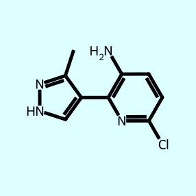 Cc1n[nH]cc1-c1nc(Cl)ccc1N